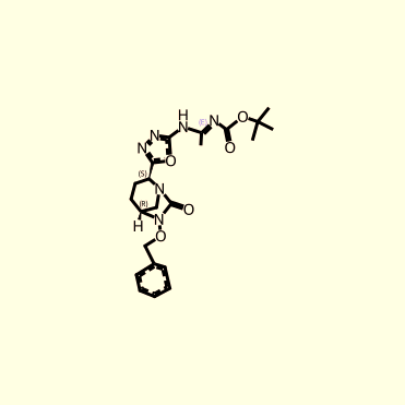 C/C(=N\C(=O)OC(C)(C)C)Nc1nnc([C@@H]2CC[C@@H]3CN2C(=O)N3OCc2ccccc2)o1